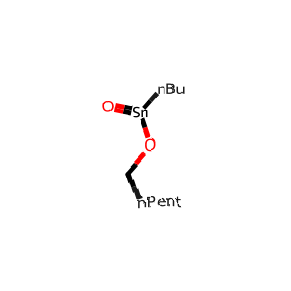 CCCCCC[O][Sn](=[O])[CH2]CCC